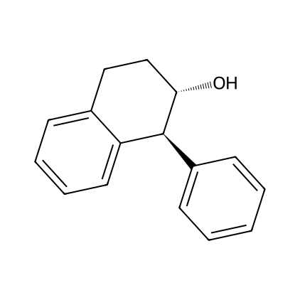 O[C@H]1CCc2ccccc2[C@@H]1c1ccccc1